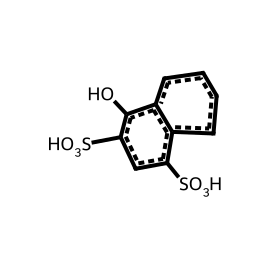 O=S(=O)(O)c1cc(S(=O)(=O)O)c2ccccc2c1O